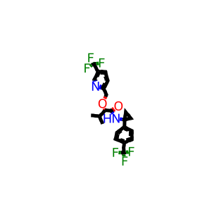 CC(C)C(OCc1ccc(C(F)(F)F)cn1)C(=O)NC1(c2ccc(C(F)(F)F)cc2)CC1